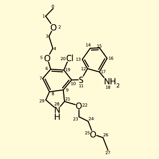 CCOCCOc1cc2c(c(Sc3ccccc3N)c1Cl)C(OCCOCC)NC2